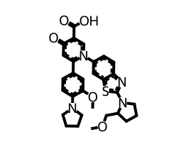 COCC1CCCN1c1nc2ccc(-n3cc(C(=O)O)c(=O)cc3-c3ccc(N4CCCC4)c(OC)c3)cc2s1